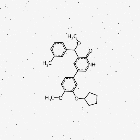 COc1ccc(-c2c[nH]c(=O)c(C(OC)c3cccc(C)c3)c2)cc1OC1CCCC1